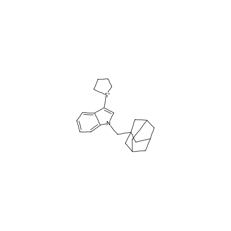 c1ccc2c(c1)c([S+]1CCCC1)cn2CC12CC3CC(CC(C3)C1)C2